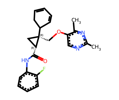 Cc1ncc(OC[C@@]2(C3C=CC=CC3)C[C@H]2C(=O)Nc2ccccc2F)c(C)n1